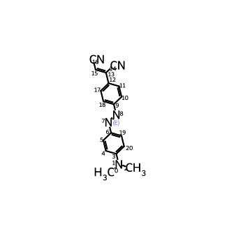 CN(C)c1ccc(/N=N/c2ccc(C(C#N)=CC#N)cc2)cc1